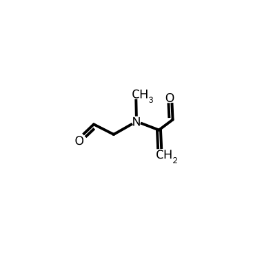 C=C(C=O)N(C)CC=O